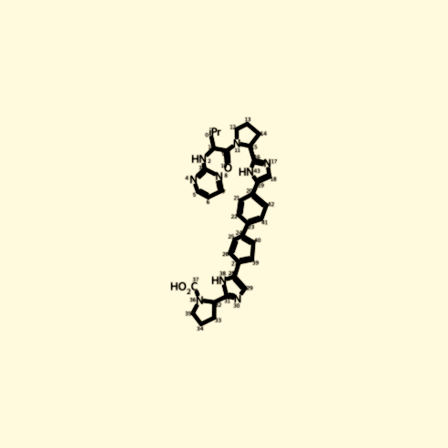 CC(C)C(Nc1ncccn1)C(=O)N1CCCC1c1ncc(-c2ccc(-c3ccc(-c4cnc(C5CCCN5C(=O)O)[nH]4)cc3)cc2)[nH]1